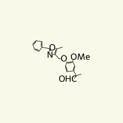 COc1cc(C(C)C=O)ccc1OCc1nc(-c2ccccc2)oc1C